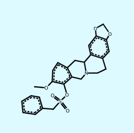 COc1ccc2c(c1OS(=O)(=O)Cc1ccccc1)CN1CCc3cc4c(cc3C1C2)OCO4